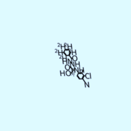 [2H]c1c([2H])c([2H])c(C(=O)NNC(=O)[C@H](Nc2ccc(C#N)c(Cl)c2C)[C@H](C)O)c([2H])c1[2H]